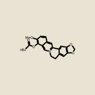 CCCCC(=O)Oc1c(OC)ccc2cc3[n+](cc12)CCc1cc2c(cc1-3)OCO2